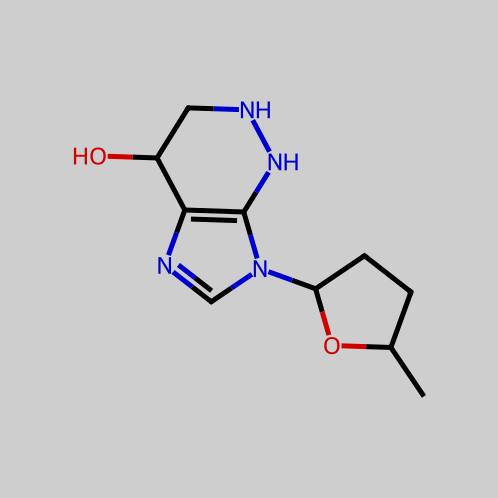 CC1CCC(n2cnc3c2NNCC3O)O1